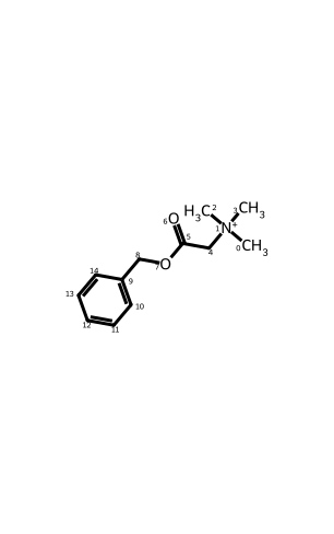 C[N+](C)(C)CC(=O)OCc1ccccc1